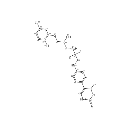 CC1CC(=O)NN=C1c1ccc(NCC(C)(C)[AsH]CC(O)COc2cc(Cl)ccc2Cl)cc1